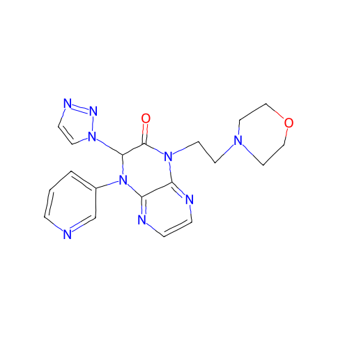 O=C1C(n2ccnn2)N(c2cccnc2)c2nccnc2N1CCN1CCOCC1